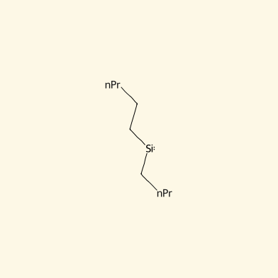 CCCCC[Si]CCCC